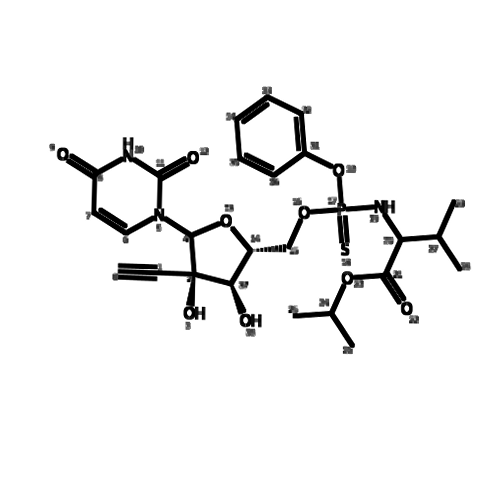 C#C[C@]1(O)C(n2ccc(=O)[nH]c2=O)O[C@H](COP(=S)(NC(C(=O)OC(C)C)C(C)C)Oc2ccccc2)[C@H]1O